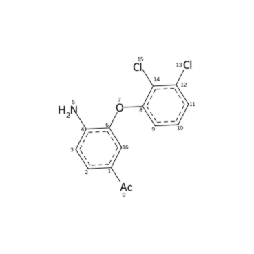 CC(=O)c1ccc(N)c(Oc2cccc(Cl)c2Cl)c1